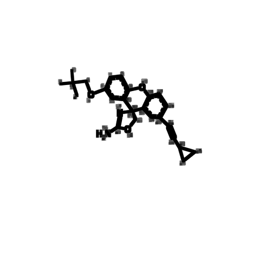 CC(C)(C)COc1ccc2c(c1)[C@]1(COC(N)=N1)c1cc(C#CC3CC3)ccc1O2